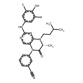 CC(C)CCN1c2nc(Nc3cc(F)c(O)c(F)c3)ncc2N(c2cccc(C#N)c2)C(=O)[C@H]1C